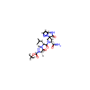 CC(C)C[C@@H](C(=O)N1CC2(C[C@H]1C(N)=O)C(=O)Nc1ccnn12)N(C)C(=O)[C@H](C)NC(=O)OC(C)(C)C